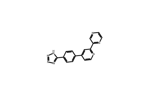 c1cnc(-c2cc(-c3ccc(-c4nnn[nH]4)cc3)ccn2)cn1